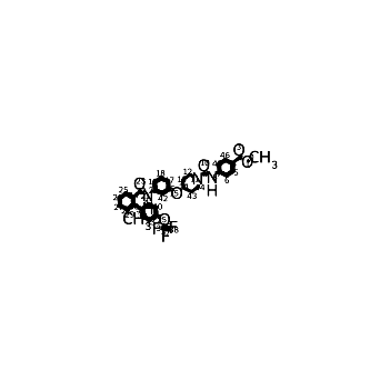 COC(=O)c1ccc(NC(=O)N2CCC(Oc3cccc(NC(=O)c4cccc(C)c4-c4ccc(OC(F)(F)F)cc4)c3)CC2)cc1